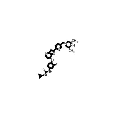 C[C@@H]1CN(Cc2ccc(-c3cc4nccc(Oc5ccc(NC(=O)NC6CC6)cc5F)c4s3)nc2)C[C@H](C)N1